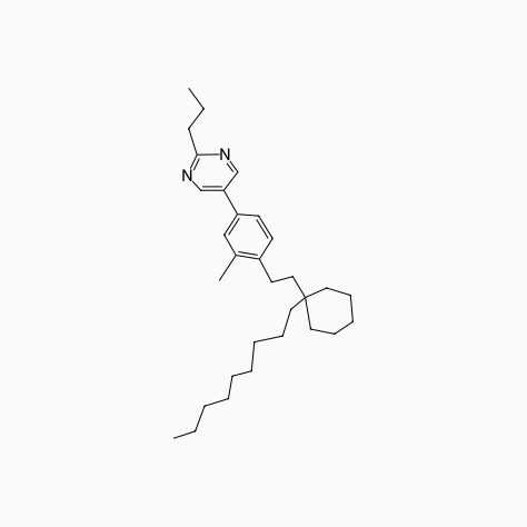 CCCCCCCCCC1(CCc2ccc(-c3cnc(CCC)nc3)cc2C)CCCCC1